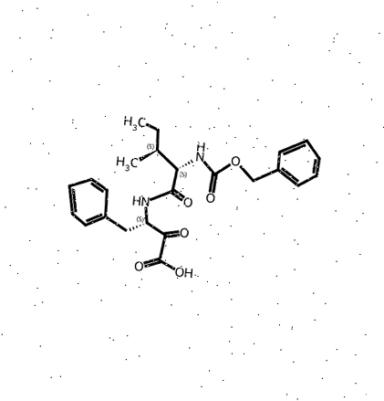 CC[C@H](C)[C@H](NC(=O)OCc1ccccc1)C(=O)N[C@@H](Cc1ccccc1)C(=O)C(=O)O